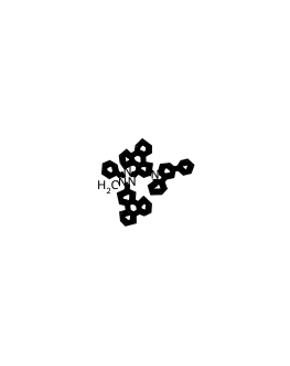 C=N/C(=N\C(=N/Cc1ccc2c3ccccc3c3ccccc3c2c1)C1=CC(n2c3ccccc3c3cc(-c4ccccc4)ccc32)=CC2C3=C(CCC=C3)c3ccccc3C12)c1ccccc1